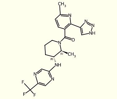 Cc1ccc(C(=O)N2CCC[C@@H](Nc3cnc(C(F)(F)F)cn3)[C@@H]2C)c(-c2c[nH]nn2)n1